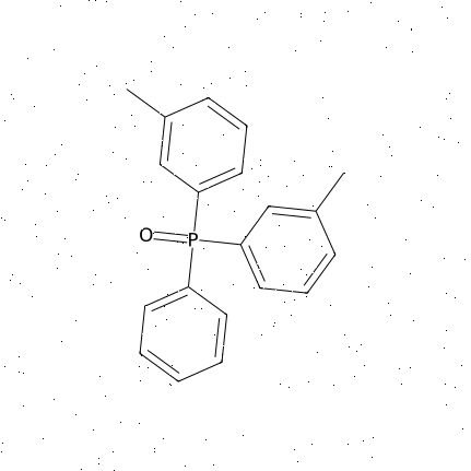 Cc1cccc(P(=O)(c2ccccc2)c2cccc(C)c2)c1